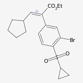 CCOC(=O)/C(=C/C1CCCC1)c1ccc(S(=O)(=O)C2CC2)c(Br)c1